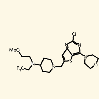 COCCN(CC(F)(F)F)C1CCN(Cc2cc3nc(Cl)nc(N4CCOCC4)c3s2)CC1